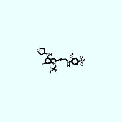 COc1cc(S(C)(=O)=O)ccc1NCC#Cc1cc2c(NC3CCOCC3)cc(F)cc2n1CC(F)(F)F